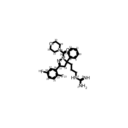 N=C(N)NCCCC1(c2ccccc2)CC(c2cc(F)ccc2F)=NN1C(=O)N1CCOCC1